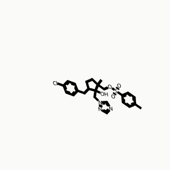 Cc1ccc(S(=O)(=O)OCC2(C)CCC(Cc3ccc(Cl)cc3)C2(O)Cn2cncn2)cc1